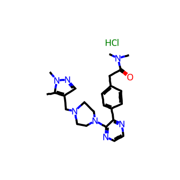 Cc1c(CN2CCN(c3nccnc3-c3ccc(CC(=O)N(C)C)cc3)CC2)cnn1C.Cl